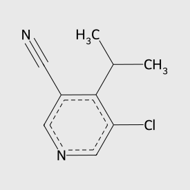 CC(C)c1c(Cl)cncc1C#N